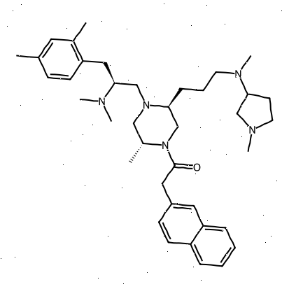 Cc1ccc(C[C@@H](CN2C[C@@H](C)N(C(=O)Cc3ccc4ccccc4c3)C[C@@H]2CCCN(C)C2CCN(C)C2)N(C)C)c(C)c1